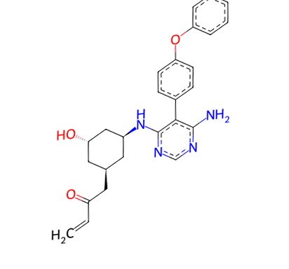 C=CC(=O)C[C@H]1C[C@H](O)C[C@@H](Nc2ncnc(N)c2-c2ccc(Oc3ccccc3)cc2)C1